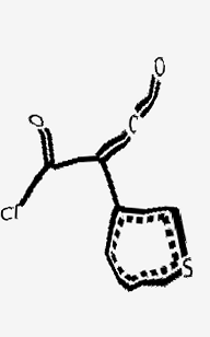 O=C=C(C(=O)Cl)c1ccsc1